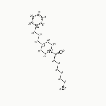 O=C(CCCCCCBr)N1CCC(CCCc2ccccc2)CC1